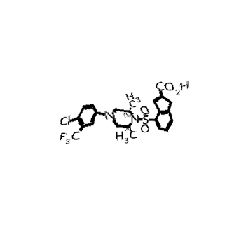 C[C@@H]1CN(c2ccc(Cl)c(C(F)(F)F)c2)C[C@H](C)N1S(=O)(=O)c1cccc2c1CC(C(=O)O)C2